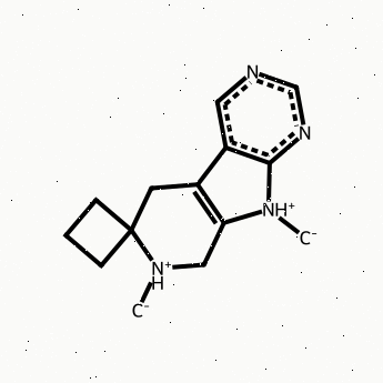 [CH2-][NH+]1C2=C(CC3(CCC3)[NH+]([CH2-])C2)c2cncnc21